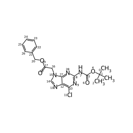 CC(C)(C)OC(=O)Nc1nc(Cl)c2ncn(CC(=O)OCc3ccccc3)c2n1